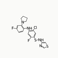 Fc1ccc(Nc2cc(F)c(SNc3cscn3)cc2Cl)c(N2CCCC2)c1